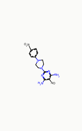 Nc1nc(N2CCN(c3ccc([N+](=O)[O-])cc3)CC2)nc(N)c1N=O